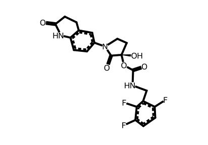 O=C1CCc2cc(N3CC[C@](O)(OC(=O)NCc4c(F)ccc(F)c4F)C3=O)ccc2N1